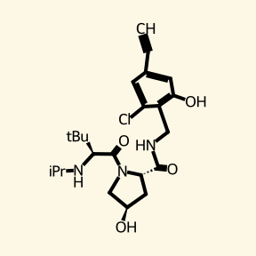 C#Cc1cc(O)c(CNC(=O)[C@@H]2C[C@@H](O)CN2C(=O)[C@@H](NC(C)C)C(C)(C)C)c(Cl)c1